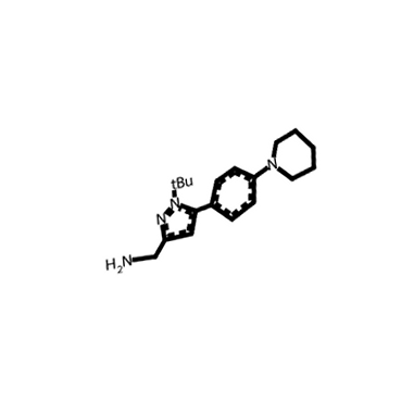 CC(C)(C)n1nc(CN)cc1-c1ccc(N2CCCCC2)cc1